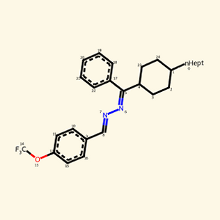 CCCCCCCC1CCC(C(=NN=Cc2ccc(OC(F)(F)F)cc2)c2ccccc2)CC1